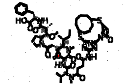 CC[C@H](C)[C@@H]([C@@H](CC(=O)N1CCC[C@H]1[C@H](OC)[C@@H](C)C(=O)N[C@@H](Cc1ccccc1)C(=O)O)OC)N(C)C(=O)[C@@H](NC(=O)[C@H](C(C)C)N(C)C(=O)CCC(=O)Nc1nc2nc(n1)N1C(=O)CC(SC3CCCCC(CCC3)S2)C1=O)C(C)C